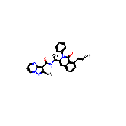 C/C=C/c1cccc2cc([C@H](C)NC(=O)c3c(C)nn4cccnc34)n(-c3ccccc3)c(=O)c12